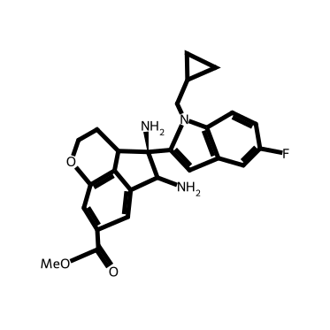 COC(=O)c1cc2c3c(c1)C(N)[C@@](N)(c1cc4cc(F)ccc4n1CC1CC1)C3CCO2